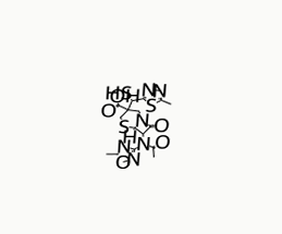 CC(=O)N(c1noc(C)n1)C1C(=O)N2CC(C(=O)O)(C(S)c3nnc(C)s3)CS[C@H]12